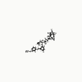 COc1cccc(CCc2ccccc2OC[C@H](CN(C)C)OC(=O)CCC(=O)NC2(C)CC3(C)CC(C)CC(C)(C3)C2)c1